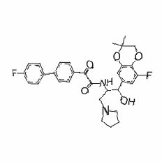 CC1(C)COc2c(F)cc(C(O)C(CN3CCCC3)NC(=O)C(=O)c3ccc(-c4ccc(F)cc4)cc3)cc2O1